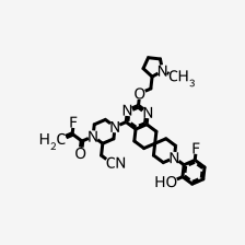 C=C(F)C(=O)N1CCN(c2nc(OCC3CCCN3C)nc3c2CCC2(CCN(c4c(O)cccc4F)CC2)C3)CC1CC#N